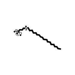 CCCCCCCCCCCCCCCCCCC[N+](C)(C)CCC[Si](OC)(OC)OC